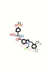 BC(B)(F)Cn1c(Cc2ccc(Cl)cc2C(F)(F)F)cc2cc(C(=O)N[C@@H](CO)c3ccc(S(=O)(=O)CC)cc3)ccc21